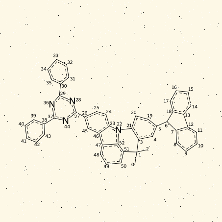 CC1(C)c2cc(C3c4ccccc4-c4ccccc43)ccc2-n2c3ccc(-c4nc(-c5ccccc5)nc(-c5ccccc5)n4)cc3c3cccc1c32